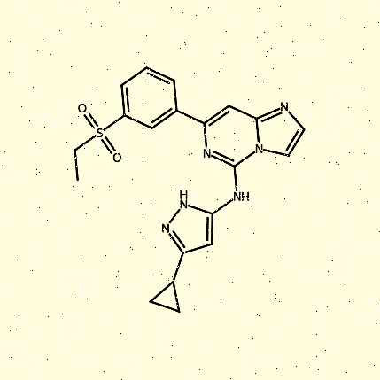 CCS(=O)(=O)c1cccc(-c2cc3nccn3c(Nc3cc(C4CC4)n[nH]3)n2)c1